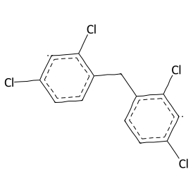 Clc1[c]c(Cl)c(Cc2ccc(Cl)[c]c2Cl)cc1